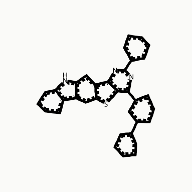 c1ccc(-c2cccc(-c3nc(-c4ccccc4)nc4c3sc3cc5c(cc34)[nH]c3ccccc35)c2)cc1